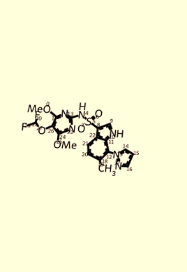 COc1nc(NS(=O)(=O)c2c[nH]c3c(-n4cccn4)c(C)ccc23)nc(OC)c1OC(F)F